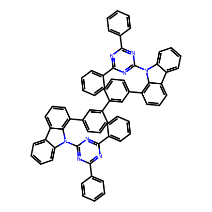 c1ccc(-c2nc(-c3ccccc3)nc(-n3c4ccccc4c4cccc(-c5cccc(-c6cccc(-c7cccc8c9ccccc9n(-c9nc(-c%10ccccc%10)nc(-c%10ccccc%10)n9)c78)c6)c5)c43)n2)cc1